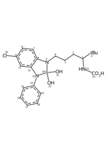 CC(C)(C)C(CCCN1c2ccc(Cl)cc2N(c2ccccc2)S1(O)O)NC(=O)O